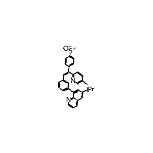 Cc1ccc(C(=Cc2cccc(-c3cc(C(C)C)cc4cccnc34)c2)c2ccc([S+](C)[O-])cc2)nc1